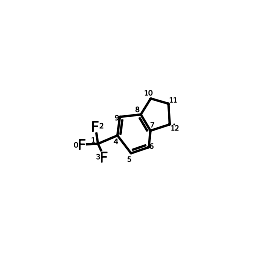 FC(F)(F)c1ccc2c(c1)CC[CH]2